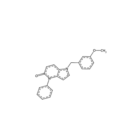 COc1cccc(Cn2ccc3c2ccc(=O)n3-c2ccccc2)c1